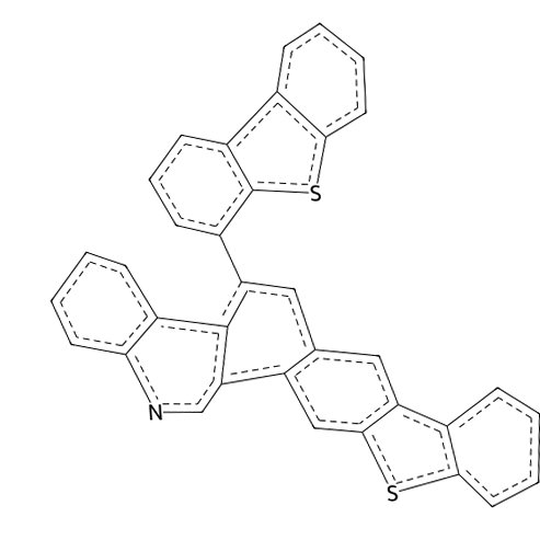 c1ccc2c(c1)ncc1c3cc4sc5ccccc5c4cc3cc(-c3cccc4c3sc3ccccc34)c21